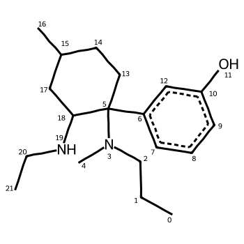 CCCN(C)C1(c2cccc(O)c2)CCC(C)CC1NCC